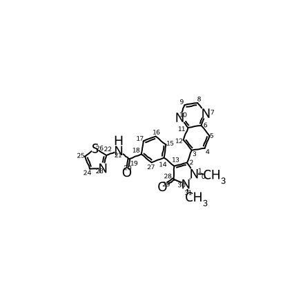 Cn1c(-c2ccc3nccnc3c2)c(-c2cccc(C(=O)Nc3nccs3)c2)c(=O)n1C